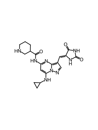 O=C1NC(=O)/C(=C/c2cnn3c(NC4CC4)cc(NC(=O)C4CCCNC4)nc23)N1